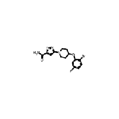 NC(=O)c1cc(N2CCC(Oc3cc(F)ccc3Br)CC2)no1